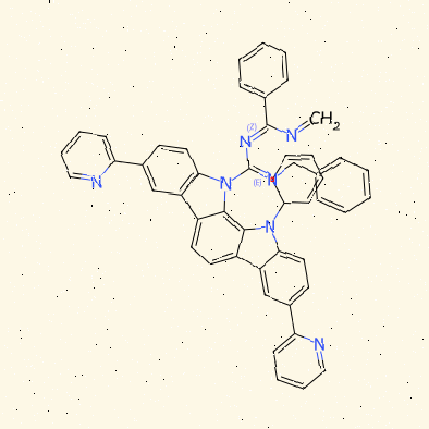 C=N/C(=N\C(=N/Cc1ccccc1)n1c2ccc(-c3ccccn3)cc2c2ccc3c4cc(-c5ccccn5)ccc4n(C4C=CC=CC4)c3c21)c1ccccc1